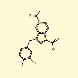 CC(=O)c1ccc2c(C(=O)O)cn(Cc3ccc(Cl)c(Cl)c3)c2c1